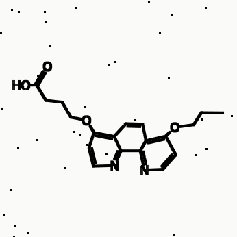 CCCOc1ccnc2c1ccc1c(OCCCC(=O)O)ccnc12